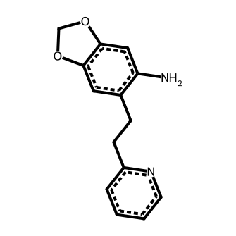 Nc1cc2c(cc1CCc1ccccn1)OCO2